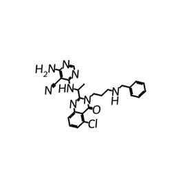 CC(Nc1ncnc(N)c1C#N)c1nc2cccc(Cl)c2c(=O)n1CCCNCc1ccccc1